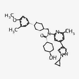 COc1ccc([C@H]2CC[C@H](CN(c3cc(-c4cnn(C5CC5)c4)cc(C)n3)C(=O)[C@H]3CC[C@H](O)CC3)CC2)cc1C